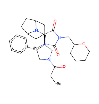 CC(C)N1C(=O)N(CC2CCCCO2)C(=O)C12CC1CCC(C2)N1C[C@H]1CN(C(=O)CC(C)(C)C)C[C@@H]1c1ccccc1